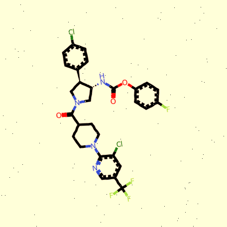 O=C(N[C@@H]1CN(C(=O)C2CCN(c3ncc(C(F)(F)F)cc3Cl)CC2)C[C@H]1c1ccc(Cl)cc1)Oc1ccc(F)cc1